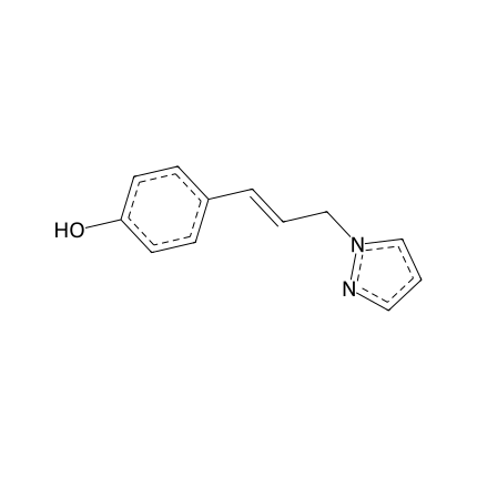 Oc1ccc(C=CCn2cccn2)cc1